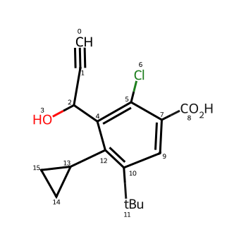 C#CC(O)c1c(Cl)c(C(=O)O)cc(C(C)(C)C)c1C1CC1